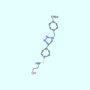 COc1ccc(Cn2cc(-c3ccc(SNCCO)cc3)nn2)cc1